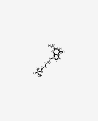 Nc1nc2c(ncn2COCCOCP(=O)(O)O)c(=O)[nH]1